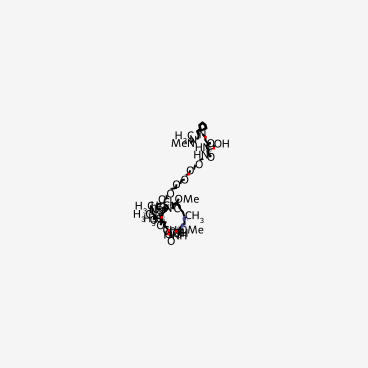 CNN(C)Cc1cc2ccccc2n1CCC(=O)N[C@@H](CCO)C(=O)NCCOCCOCCOCCOCCOCCOCCC(=O)N(C)[C@@H](C)C(=O)O[C@H]1CC(=O)N(C)c2cc(cc(OC)c2Cl)C/C(C)=C/C=C/[C@@H](OC)[C@@]2(O)C[C@H](OC(=O)N2)C2(C)C[C@@]1(C)O2